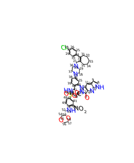 Cn1c(=O)c2nc3[nH]ccc3cc2n1-c1cc(N2CCN(CC3=C(c4ccc(Cl)cc4)CCCCC3)CC2)ccc1C(=O)NS(=O)(=O)c1ccc(NC[C@H]2COCCO2)c([N+](=O)[O-])c1